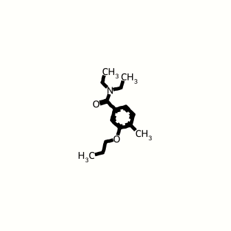 CCCOc1cc(C(=O)N(CC)CC)ccc1C